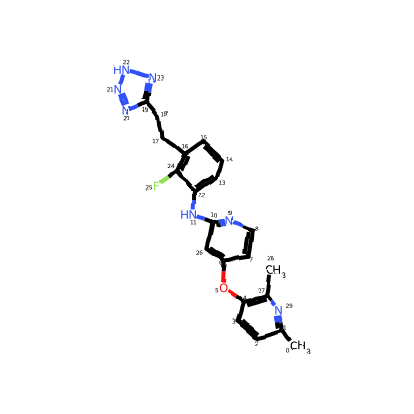 Cc1ccc(Oc2ccnc(Nc3cccc(CCc4nn[nH]n4)c3F)c2)c(C)n1